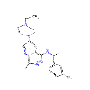 Cc1nnc(NC(C)c2cccc(C(F)(F)F)c2)c2cc(N3CCN(CC(F)(F)F)CC3)cnc12